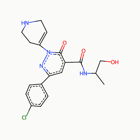 CC(CO)NC(=O)c1cc(-c2ccc(Cl)cc2)nn(C2=CCNCC2)c1=O